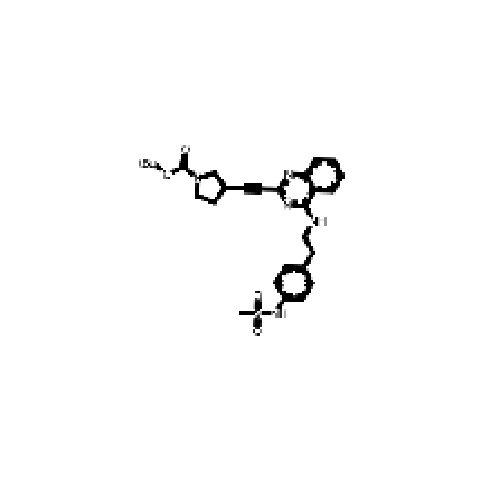 CC(C)(C)OC(=O)N1CCC(C#Cc2nc(NCCc3ccc(NS(C)(=O)=O)cc3)c3ccccc3n2)C1